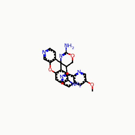 COc1cnc2c(C3COC(N)=NC34c3ccncc3Oc3ccc(N)cc34)nccc2c1